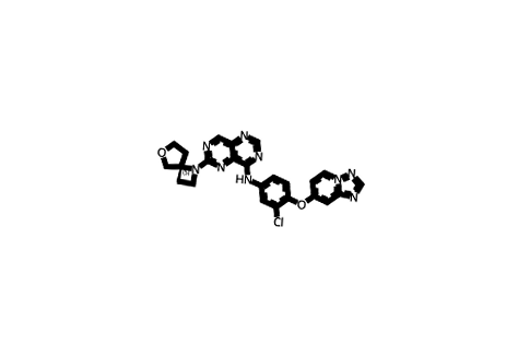 Clc1cc(Nc2ncnc3cnc(N4CC[C@@]45CCOC5)nc23)ccc1Oc1ccn2ncnc2c1